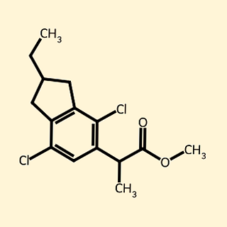 CCC1Cc2c(Cl)cc(C(C)C(=O)OC)c(Cl)c2C1